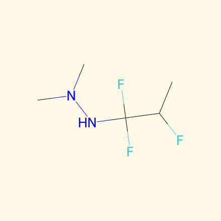 CC(F)C(F)(F)NN(C)C